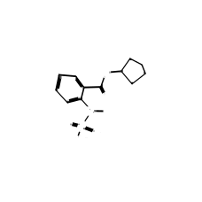 CCCS(=O)(=O)N(C)c1ccccc1C(=O)OC1CCCC1